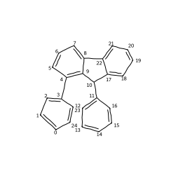 c1ccc(-c2cccc3c2C(c2ccccc2)c2ccccc2-3)cc1